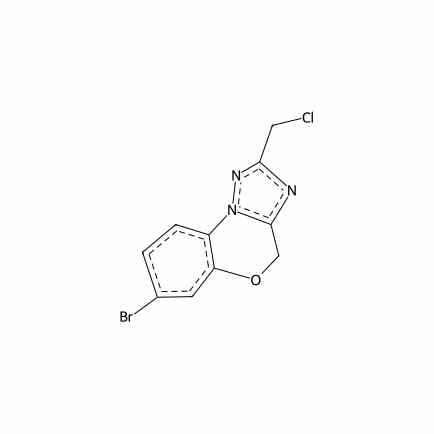 ClCc1nc2n(n1)-c1ccc(Br)cc1OC2